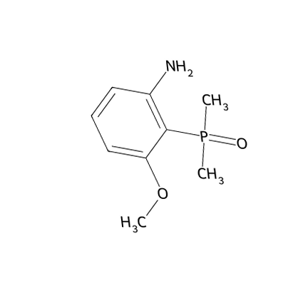 COc1cccc(N)c1P(C)(C)=O